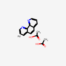 CC(=O)O.CC(=O)O.[Pd].c1cnc2c(c1)ccc1cccnc12